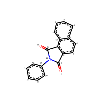 O=C1c2ccc3ccccc3c2C(=O)N1c1ccccc1